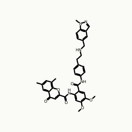 COc1cc(NC(=O)c2cc(=O)c3cc(C)cc(C)c3o2)c(C(=O)Nc2ccc(CCNCc3ccc4c(cnn4C)c3)cc2)cc1OC